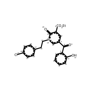 CCOC(=O)c1cc(C(=O)c2ccccc2O)cn(CCc2ccc(Cl)cc2)c1=O